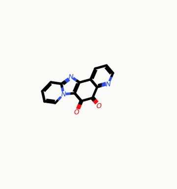 O=C1C(=O)c2c(nc3ccccn23)-c2cccnc21